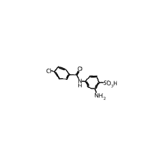 Nc1cc(NC(=O)c2ccc(Cl)cc2)ccc1S(=O)(=O)O